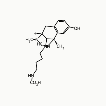 CN1CC[C@@]2(C)c3cc(O)ccc3C[C@@H]1[C@@H]2NCCCCNC(=O)O